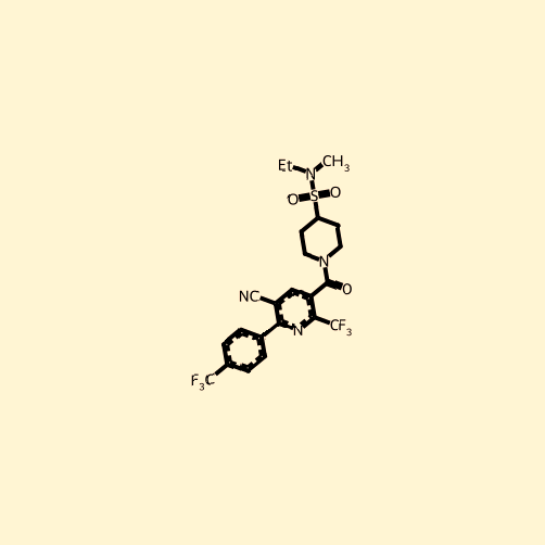 CCN(C)S(=O)(=O)C1CCN(C(=O)c2cc(C#N)c(-c3ccc(C(F)(F)F)cc3)nc2C(F)(F)F)CC1